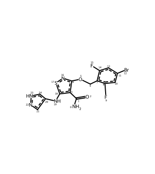 NC(=O)c1c(OCc2c(F)cc(Br)cc2F)nsc1Nc1cn[nH]c1